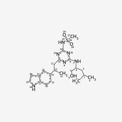 CC(C)CC(CO)Nc1nc(CC(C)c2ccc3[nH]ccc3c2)nc(NS(C)(=O)=O)n1